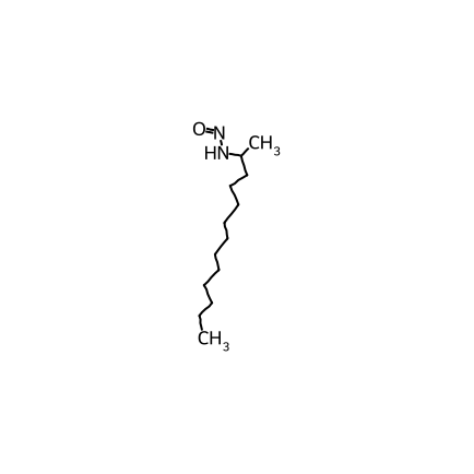 CCCCCCCCCCCC(C)NN=O